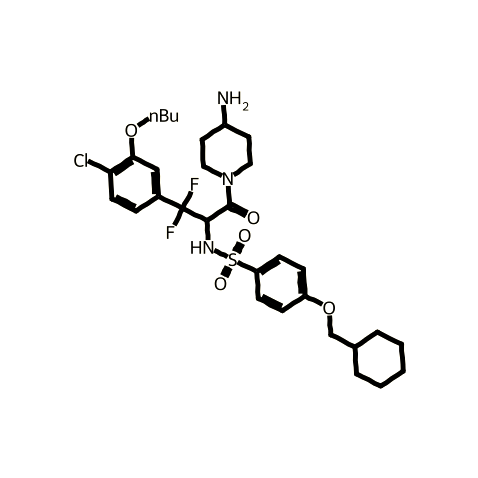 CCCCOc1cc(C(F)(F)C(NS(=O)(=O)c2ccc(OCC3CCCCC3)cc2)C(=O)N2CCC(N)CC2)ccc1Cl